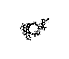 C=CC(=O)N1CC[C@](F)(C(=O)N(C)[C@H](C(=O)N[C@H]2Cc3csc(n3)-c3ccc4c(c3)c(c(-c3cc(N5CCN(C)CC5)cnc3[C@H](C)OC)n4CC(F)(F)F)CC(C)(C)COC(=O)[C@@H]3CCCN(N3)C2=O)C(C)C)C1